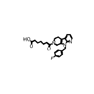 O=C(O)CCCCCC(=O)N1CCc2c(n(Cc3ccc(F)cc3)c3ncccc23)C1